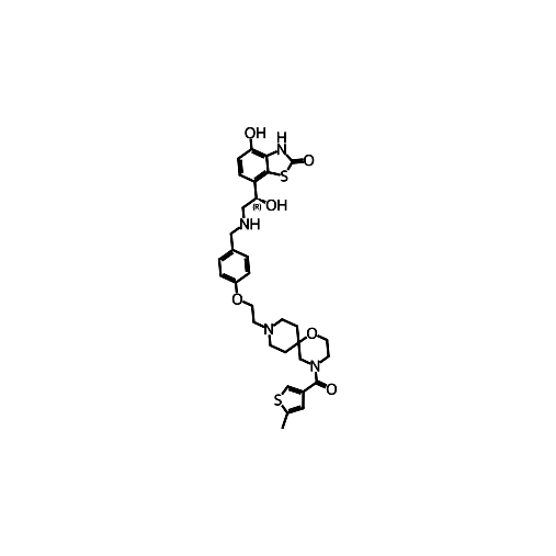 Cc1cc(C(=O)N2CCOC3(CCN(CCOc4ccc(CNC[C@H](O)c5ccc(O)c6[nH]c(=O)sc56)cc4)CC3)C2)cs1